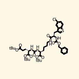 CC(C)(C)OC(=O)CC[C@H](NC(=O)N[C@@H](CCCCNC(=O)[C@@H](Cc1csc2ccc(Cl)cc12)NC(=O)OCc1ccccc1)C(=O)OC(C)(C)C)C(=O)OC(C)(C)C